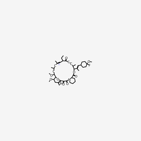 CCC1/C=C(\C)CC(C)CC(OC)C2OC(O)(C(=O)C(=O)N3CCCCC3C(=O)OC(C(C)=CC3CCC(F)(OC)CC3)C(C)CCC1=O)C(C)CC2OC